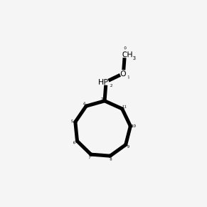 COPC1CCCCCCCC1